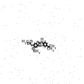 COC(=O)Cc1cc2nc(Nc3ccc(C(C)C)cc3)[nH]c2cc1OC